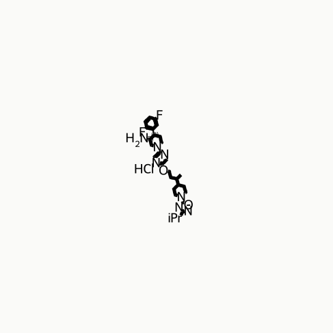 CC(C)c1noc(N2CCC(C(C)CCOc3cnc(N4CC[C@H](c5cc(F)ccc5F)[C@@H](N)C4)cn3)CC2)n1.Cl